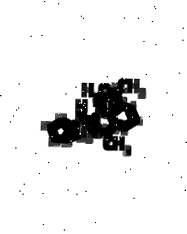 CC(C)c1cccc(C(C)C)c1N(S)C(=O)NC1CC2CCC1C2